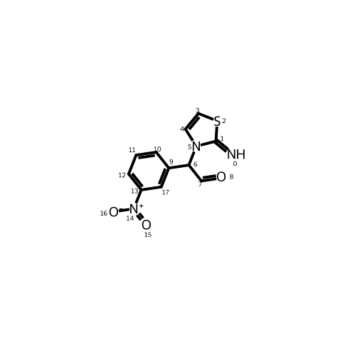 N=c1sccn1C(C=O)c1cccc([N+](=O)[O-])c1